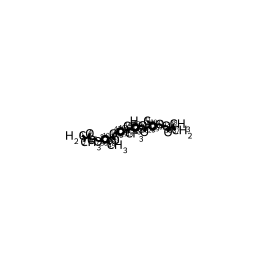 C=C(C)C(=O)OCOc1ccc(C(=O)Oc2ccc(C(c3ccc(OC(=O)c4ccc(OCOC(=O)C(=C)C)cc4C)cc3)(C(F)(F)F)C(F)(F)F)cc2)c(C)c1